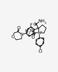 NC(=O)[C@]1(c2ccc(N3CCOCC3=O)cc2F)CCC[N+]1(C(N)=O)c1ccc(Cl)cc1